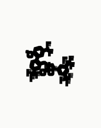 COc1ccc(C(F)F)cc1-c1ccc(C(F)(F)F)cc1CN1C[C@@H](c2cc(C(F)(F)F)cc(C(F)(F)F)c2)OC1=O